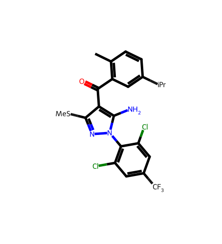 CSc1nn(-c2c(Cl)cc(C(F)(F)F)cc2Cl)c(N)c1C(=O)c1cc(C(C)C)ccc1C